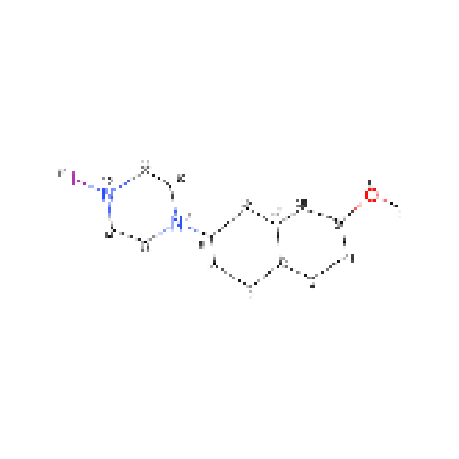 COC1CCC2CCC(N3CCN(I)CC3)CC2C1